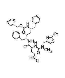 CC(C)c1nc(CN(C)C(=O)N[C@@H](CCNCl)C(=O)N[C@@H](CC[C@@H](Cc2ccccc2)NC(=O)OCc2cncs2)Cc2ccccc2)cs1